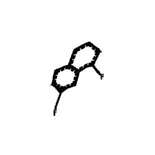 Fc1[c]cc2cc[c]c(F)c2c1